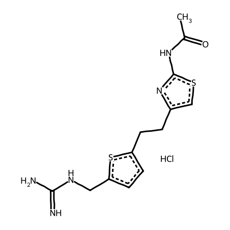 CC(=O)Nc1nc(CCc2ccc(CNC(=N)N)s2)cs1.Cl